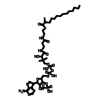 CCCCCCCCCCCCN(C)C(=O)SCCNC(=O)CCNC(=O)C(O)C(C)(C)COP(=O)(O)OP(=O)(O)OCC1OC(n2cnc3c(N)ncnc32)C(O)C1OP(=O)(O)O